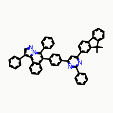 CC1(C)c2ccccc2-c2ccc(-c3cc(-c4ccc(-c5c(-c6ccccc6)n6ncc(-c7ccccc7)c6c6ccccc56)cc4)nc(-c4ccccc4)n3)cc21